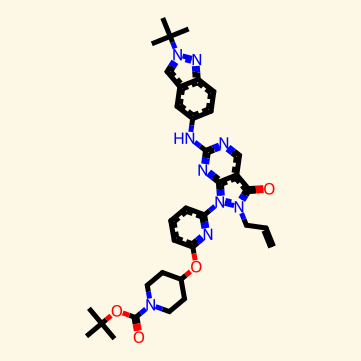 C=CCn1c(=O)c2cnc(Nc3ccc4nn(C(C)(C)C)cc4c3)nc2n1-c1cccc(OC2CCN(C(=O)OC(C)(C)C)CC2)n1